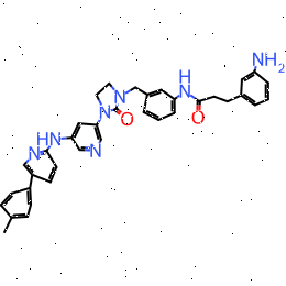 Cc1ccc(-c2ccc(Nc3cncc(N4CCN(Cc5cccc(NC(=O)CCc6cccc(N)c6)c5)C4=O)c3)nc2)cc1